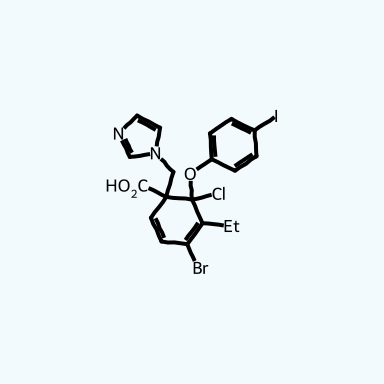 CCC1=C(Br)C=CC(Cn2ccnc2)(C(=O)O)C1(Cl)Oc1ccc(I)cc1